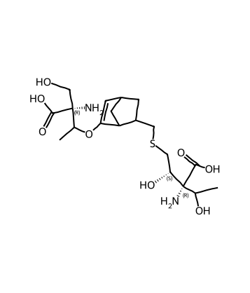 CC(O)[C@](N)(C(=O)O)[C@H](O)CSCC1CC2C=C(OC(C)[C@](N)(CO)C(=O)O)C1C2